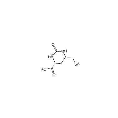 O=C1N[C@H](CS)C[C@H](C(=O)O)N1